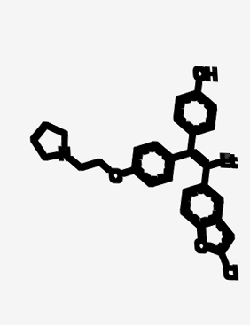 CC/C(=C(\c1ccc(O)cc1)c1ccc(OCCN2CCCC2)cc1)c1ccc2oc(Cl)cc2c1